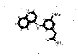 COc1cc(CC(N)=O)cc(Oc2ccnc3ccccc23)c1